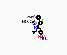 COc1cccc(-c2cc(-c3c(Cc4ccc(S(N)(=O)=O)cc4)c(CC4CC4)nn3-c3nc(C(=O)O)cs3)ccc2F)c1